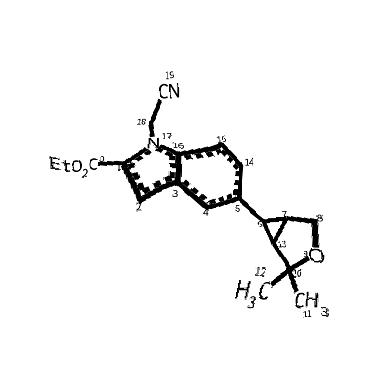 CCOC(=O)c1cc2cc(C3C4COC(C)(C)C43)ccc2n1CC#N